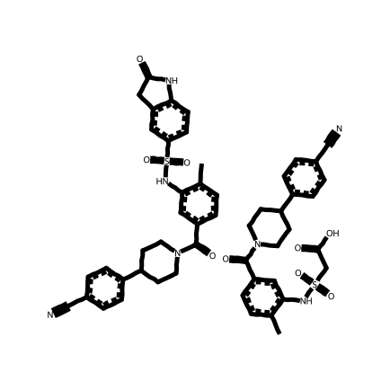 Cc1ccc(C(=O)N2CCC(c3ccc(C#N)cc3)CC2)cc1NS(=O)(=O)CC(=O)O.Cc1ccc(C(=O)N2CCC(c3ccc(C#N)cc3)CC2)cc1NS(=O)(=O)c1ccc2c(c1)CC(=O)N2